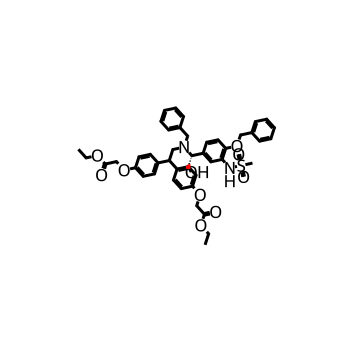 CCOC(=O)COc1ccc(C(CN(Cc2ccccc2)[C@@H](CO)c2ccc(OCc3ccccc3)c(NS(C)(=O)=O)c2)c2ccc(OCC(=O)OCC)cc2)cc1